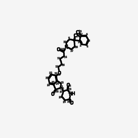 N#CC1(c2ccccc2Cl)CCN(C(=O)CCCCOc2cccc3c2CN(C2CCC(=O)NC2=O)C3=O)CC1